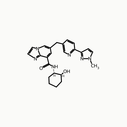 Cn1ccc(-c2ccc(Cc3cc(C(=O)N[C@H]4CCCC[C@@H]4O)c4nccn4c3)cn2)n1